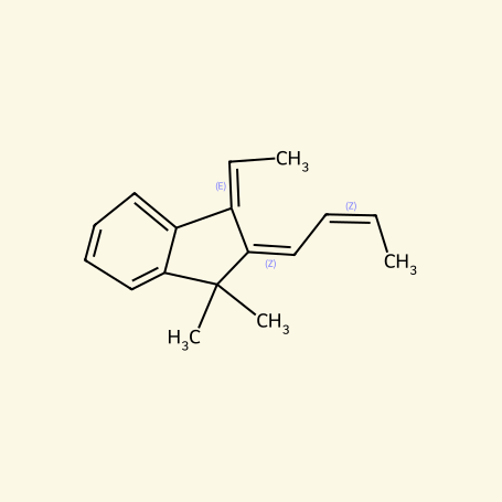 C\C=C/C=C1\C(=C/C)c2ccccc2C1(C)C